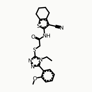 CCn1c(SCC(=O)Nc2sc3c(c2C#N)CCCC3)nnc1-c1ccccc1OC